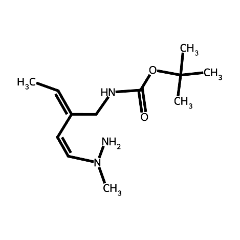 C/C=C(\C=C/N(C)N)CNC(=O)OC(C)(C)C